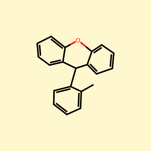 Cc1ccccc1C1c2ccccc2Oc2ccccc21